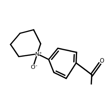 CC(=O)c1ccc([N+]2([O-])CCCCC2)cc1